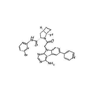 Nc1ncnc2c1c1cc(-c3ccncc3)ccc1n2CC(=O)N1[C@@H]2CC[C@@H]2C[C@H]1C(=O)Nc1cccc(Br)n1